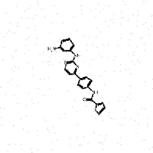 Nc1cccc(Nc2nccc(-c3ccc(NC(=O)c4cccs4)cc3)n2)c1